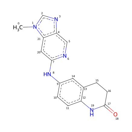 Cn1cnc2cnc(Nc3ccc4c(c3)CCC(=O)N4)cc21